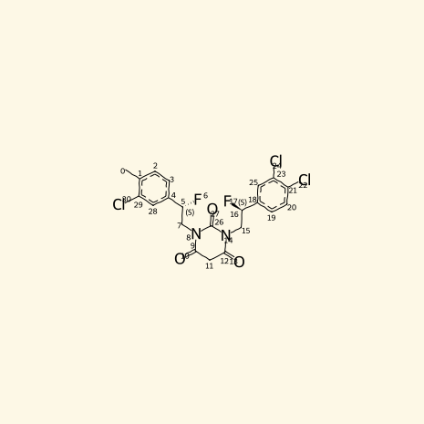 Cc1ccc([C@H](F)CN2C(=O)CC(=O)N(C[C@@H](F)c3ccc(Cl)c(Cl)c3)C2=O)cc1Cl